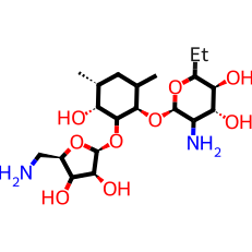 CCC1O[C@H](O[C@@H]2C(C)C[C@@H](C)[C@@H](O)C2O[C@@H]2O[C@H](CN)C(O)[C@@H]2O)C(N)[C@@H](O)[C@@H]1O